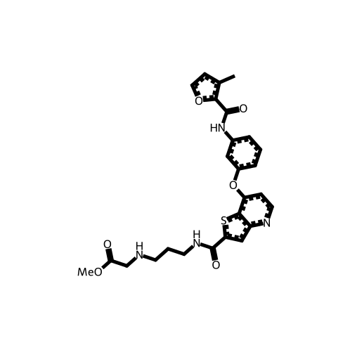 COC(=O)CNCCCNC(=O)c1cc2nccc(Oc3cccc(NC(=O)c4occc4C)c3)c2s1